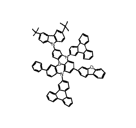 CC(C)(C)c1ccc2c(c1)c1cc(C(C)(C)C)ccc1n2-c1ccc2c(c1)N(c1ccc3c4ccccc4c4ccccc4c3c1)c1cc(-c3ccc4c(c3)oc3ccccc34)cc3c1B2c1cc(-c2ccccc2)ccc1N3c1ccc2c3ccccc3c3ccccc3c2c1